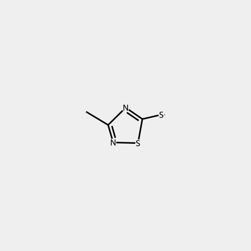 Cc1nsc([S])n1